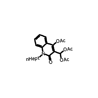 CCCCCCCn1c(=O)c(C(OC(C)=O)OC(C)=O)c(OC(C)=O)c2ccccc21